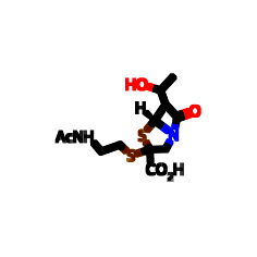 CC(=O)NCCSC1(C(=O)O)CN2C(=O)C(C(C)O)[C@H]2S1